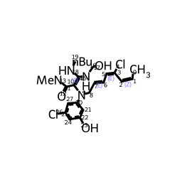 C\C=C/C(Cl)=C\C=C\CN(/C(C(=O)NC)=C(\NCO)NCCCC)c1cc(O)cc(Cl)c1